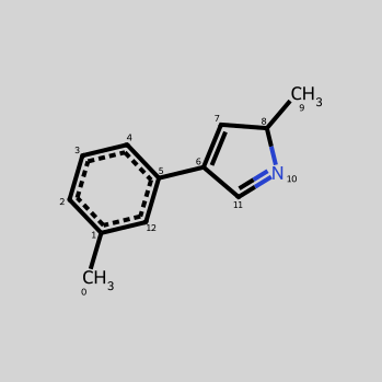 Cc1cccc(C2=CC(C)N=C2)c1